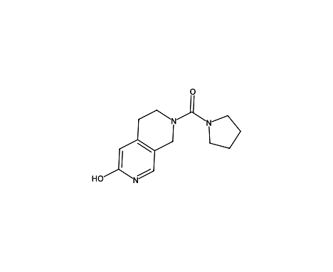 O=C(N1CCCC1)N1CCc2cc(O)ncc2C1